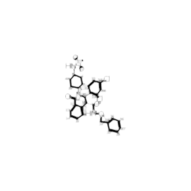 CS(=O)(=O)N[C@H]1CC[C@H](N2C(=O)c3ccccc3[C@@H](C(=O)NOCc3ccccc3)[C@@H]2c2ccc(Cl)cc2Cl)CC1